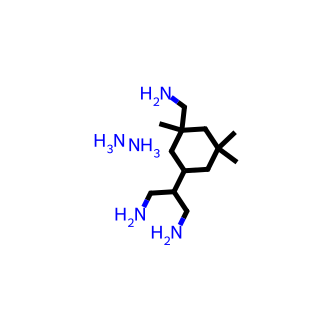 CC1(C)CC(C(CN)CN)CC(C)(CN)C1.N.N